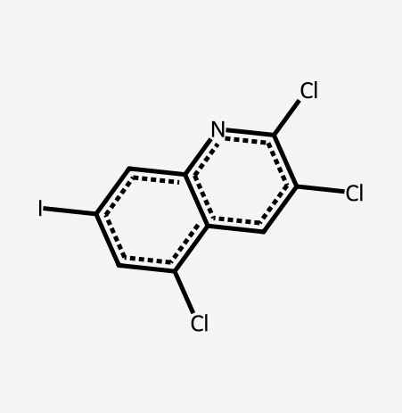 Clc1cc2c(Cl)cc(I)cc2nc1Cl